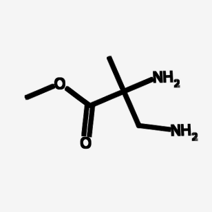 COC(=O)C(C)(N)CN